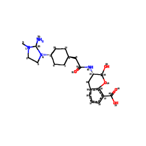 CN1CCN([C@H]2CC[C@H](CC(=O)N[C@H]3Cc4cccc(C(=O)O)c4OB3O)CC2)C1N